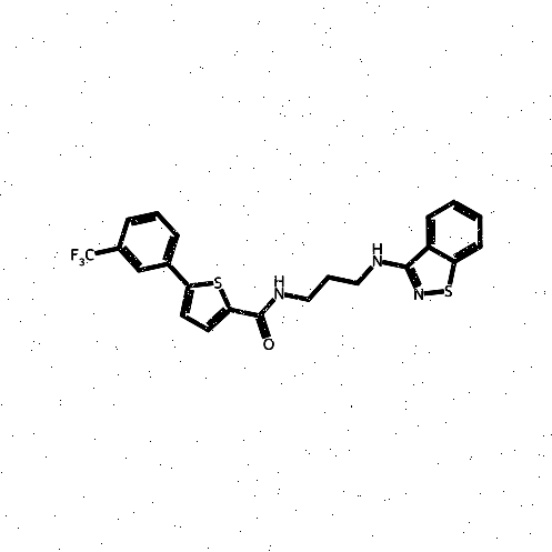 O=C(NCCCNc1nsc2ccccc12)c1ccc(-c2cccc(C(F)(F)F)c2)s1